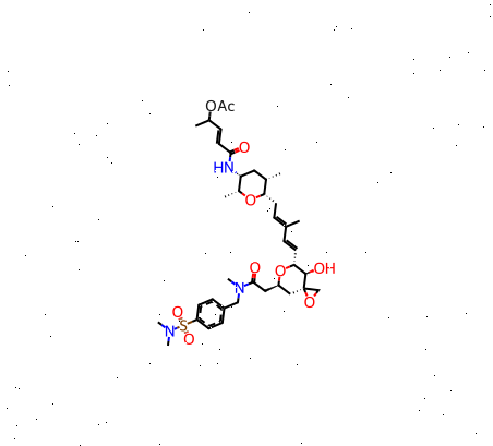 CC(=O)OC(C)C=CC(=O)N[C@@H]1C[C@H](C)[C@H](C/C=C(C)/C=C/[C@H]2O[C@H](CC(=O)N(C)Cc3ccc(S(=O)(=O)N(C)C)cc3)C[C@@]3(CO3)[C@@H]2O)O[C@@H]1C